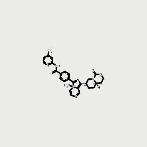 N[N+]12C=CN=CC1=C([C@@H]1CC[C@H]3CCOC(=O)N3C1)N=C2c1ccc(C(=O)Nc2cc(C(F)(F)F)ccn2)cc1